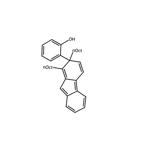 CCCCCCCCC1=C2C=c3ccccc3=C2C=CC1(CCCCCCCC)c1ccccc1O